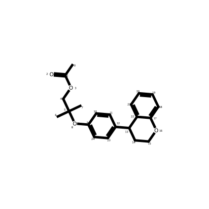 CC(=O)OCC(C)(C)Oc1ccc(C2CCOc3ccccc32)cc1